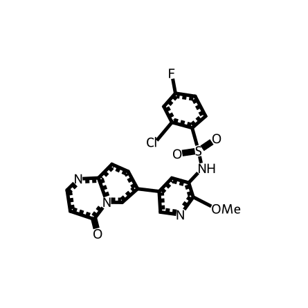 COc1ncc(-c2ccc3nccc(=O)n3c2)cc1NS(=O)(=O)c1ccc(F)cc1Cl